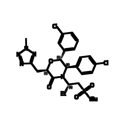 CC[C@@H](CS(=O)(=O)C(C)(C)C)N1C(=O)[C@@H](Cc2nnn(C)n2)O[C@H](c2cccc(Cl)c2)[C@H]1c1ccc(Cl)cc1